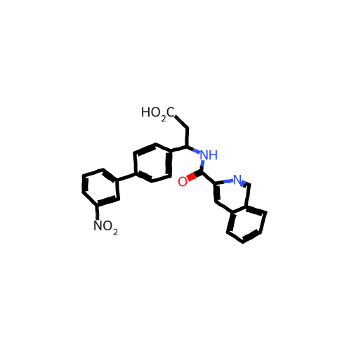 O=C(O)CC(NC(=O)c1cc2ccccc2cn1)c1ccc(-c2cccc([N+](=O)[O-])c2)cc1